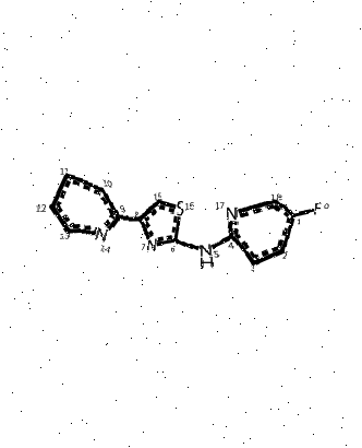 Fc1ccc(Nc2nc(-c3ccccn3)cs2)nc1